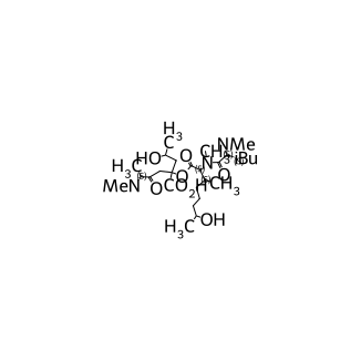 CC[C@H](C)[C@H](NC)C(=O)N(C)[C@H](C(=O)OC(CC(=O)[C@H](C)NC)(CC(C)O)C(=O)O)[C@@H](C)CCCC(C)O